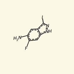 Nc1cc2c(I)n[nH]c2cc1F